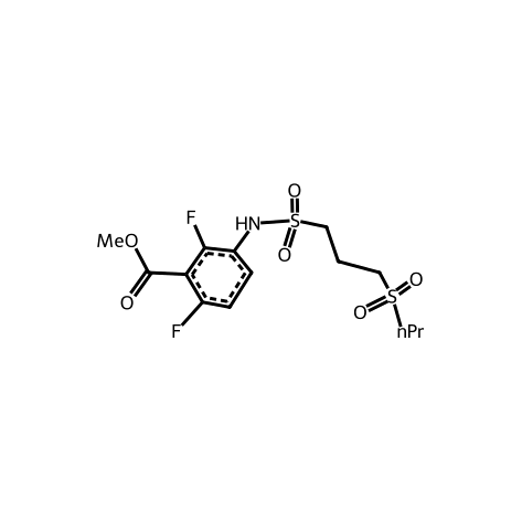 CCCS(=O)(=O)CCCS(=O)(=O)Nc1ccc(F)c(C(=O)OC)c1F